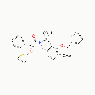 COc1ccc2c(c1OCc1ccccc1)C[C@@H](C(=O)O)N(C(=O)[C@H](Oc1cccs1)c1ccccc1)C2